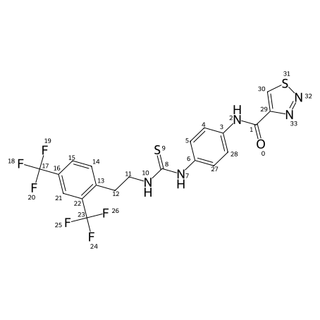 O=C(Nc1ccc(NC(=S)NCCc2ccc(C(F)(F)F)cc2C(F)(F)F)cc1)c1csnn1